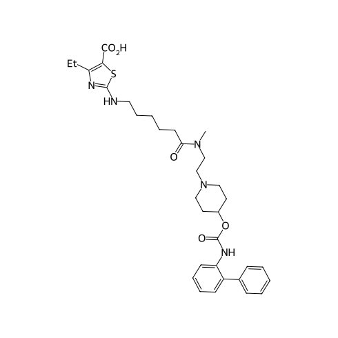 CCc1nc(NCCCCCC(=O)N(C)CCN2CCC(OC(=O)Nc3ccccc3-c3ccccc3)CC2)sc1C(=O)O